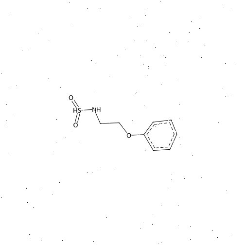 O=[SH](=O)NCCOc1ccccc1